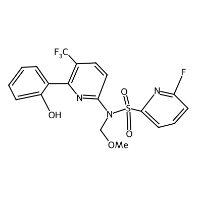 COCN(c1ccc(C(F)(F)F)c(-c2ccccc2O)n1)S(=O)(=O)c1cccc(F)n1